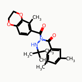 Cc1cc(C)cc(C(=O)N(NC(C)(C)C)C(=O)c2ccc3c(c2C)OCCO3)c1